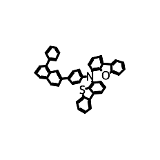 c1ccc(-c2cccc3ccc(-c4ccc(N(c5cccc6c5oc5ccccc56)c5cccc6c5sc5ccccc56)cc4)cc23)cc1